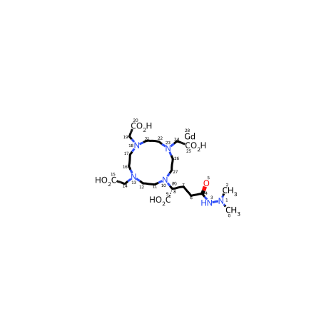 CN(C)NC(=O)CC[C@H](C(=O)O)N1CCN(CC(=O)O)CCN(CC(=O)O)CCN(CC(=O)O)CC1.[Gd]